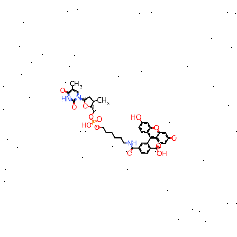 Cc1cn([C@H]2CC(C)[C@@H](COP(=O)(O)OCCCCCCNC(=O)c3ccc(C(=O)O)c(-c4c5ccc(=O)cc-5oc5cc(O)ccc45)c3)O2)c(=O)[nH]c1=O